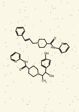 CC(C(O)c1ccc(O)cc1)N1CCC(C(=O)Nc2ccccn2)CC1.O=C(Nc1ccccn1)C1CCN(C/C=C/c2ccccc2)CC1